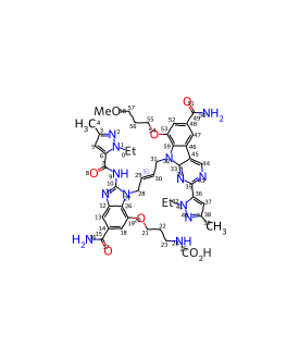 CCn1nc(C)cc1C(=O)Nc1nc2cc(C(N)=O)cc(OCCCNC(=O)O)c2n1C/C=C/Cn1c2nc(-c3cc(C)nn3CC)ncc2c2cc(C(N)=O)cc(OCCCOC)c21